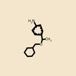 CC(OCC1CCCCC1)c1ccc(N)cc1